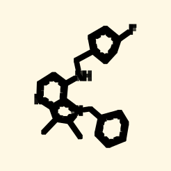 Cc1c(C)n(Cc2ccccc2)c2c(NCc3ccc(F)cc3)ccnc12